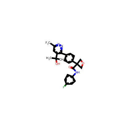 CC(C)(O)c1cc(C(F)(F)F)nnc1-c1ccc(C2(C(=O)Nc3ccc(F)cc3)COC2)cc1